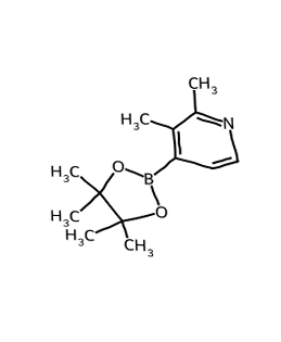 Cc1nccc(B2OC(C)(C)C(C)(C)O2)c1C